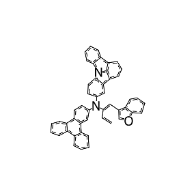 C=C/C(=C\c1coc2ccccc12)N(c1ccc2c3ccccc3c3ccccc3c2c1)c1ccc2c(c1)c1cccc3c4ccccc4n2c31